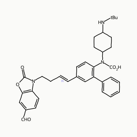 CC(C)(C)NC1CCC(N(C(=O)O)c2ccc(/C=C/CCn3c(=O)oc4cc(C=O)ccc43)cc2-c2ccccc2)CC1